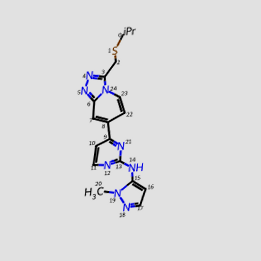 CC(C)SCc1nnc2cc(-c3ccnc(Nc4ccnn4C)n3)ccn12